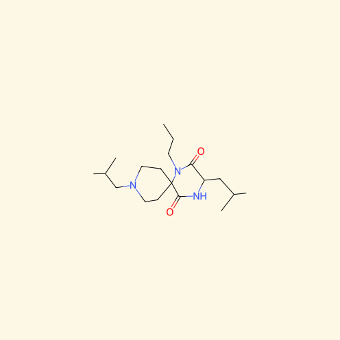 CCCN1C(=O)C(CC(C)C)NC(=O)C12CCN(CC(C)C)CC2